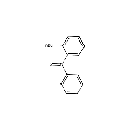 CCCCc1ccccc1[N+](=S)c1ccccc1